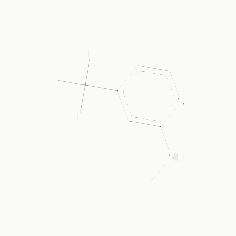 FC(F)(F)c1ccnc(NI)c1